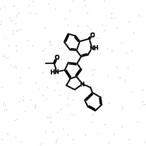 CC(=O)Nc1cc(-c2c[nH]c(=O)c3ccccc23)cc2c1CCN2Cc1ccccc1